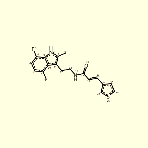 Cc1[nH]c2c(F)ccc(C)c2c1CCNC(=O)C=Cc1ccsc1